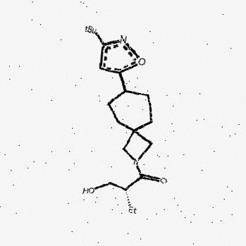 CC[C@H](CO)C(=O)N1CC2(CCC(c3cc(C(C)(C)C)no3)CC2)C1